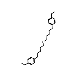 CCc1ccc(CCCCCOCCCCCc2ccc(CC)cc2)cc1